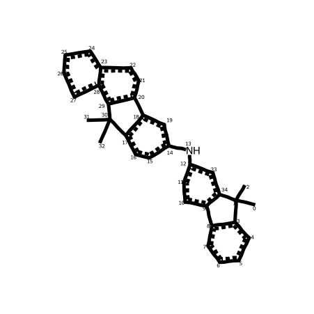 CC1(C)c2ccccc2-c2ccc(Nc3ccc4c(c3)-c3ccc5ccccc5c3C4(C)C)cc21